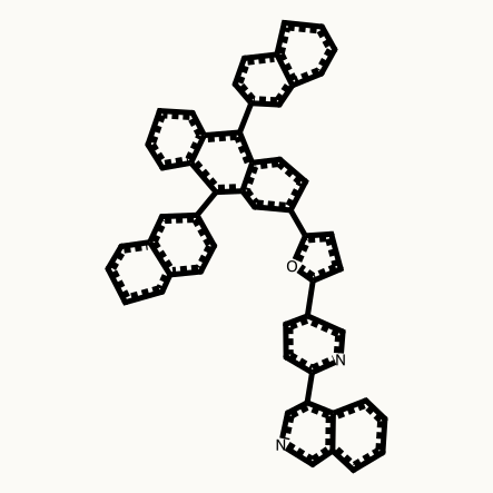 c1ccc2cc(-c3c4ccccc4c(-c4ccc5ccccc5c4)c4cc(-c5ccc(-c6ccc(-c7cncc8ccccc78)nc6)o5)ccc34)ccc2c1